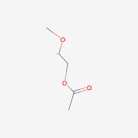 CO[CH]COC(C)=O